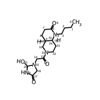 CCCCN1C(=O)CC[C@@H]2CN(C(=O)CN3CC(=O)NC3O)CC[C@@H]21